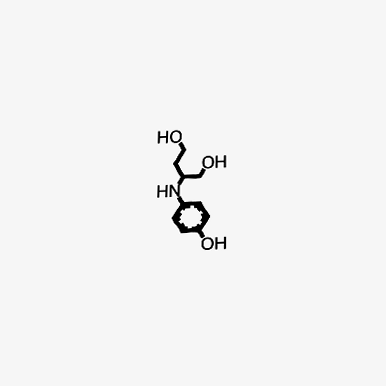 OCCC(CO)Nc1ccc(O)cc1